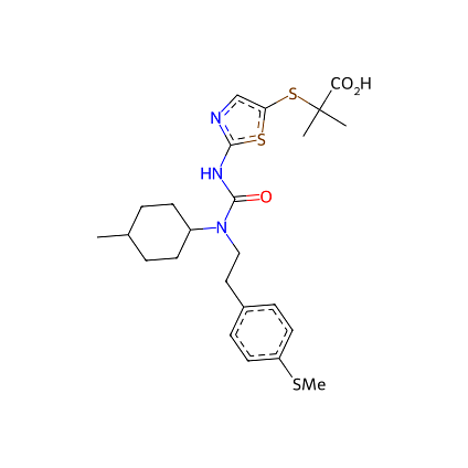 CSc1ccc(CCN(C(=O)Nc2ncc(SC(C)(C)C(=O)O)s2)C2CCC(C)CC2)cc1